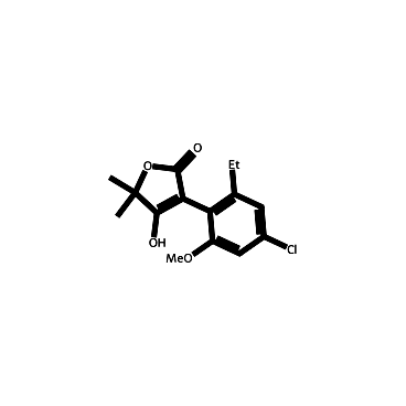 CCc1cc(Cl)cc(OC)c1C1=C(O)C(C)(C)OC1=O